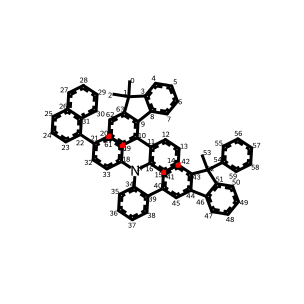 CC1(C)c2ccccc2-c2c(-c3ccccc3N(c3ccc(-c4cccc5ccccc45)cc3)c3ccccc3-c3ccc4c(c3)-c3ccccc3C4(C)c3ccccc3)cccc21